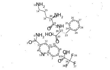 NC(=O)c1cnc2ccccc2c1.NCCC[C@@H](N)C(=O)N[C@H](Cc1ccccc1)C(=O)O.O=C(O)C(F)(F)F